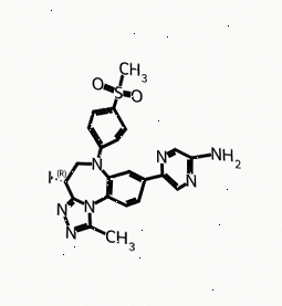 Cc1nnc2n1-c1ccc(-c3cnc(N)cn3)cc1N(c1ccc(S(C)(=O)=O)cc1)C[C@H]2I